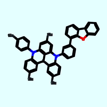 CC(C)(C)c1ccc(N2c3ccc(C(C)(C)C)cc3B3c4cc(C(C)(C)C)ccc4N(c4cccc(-c5cccc6c5oc5ccccc56)c4)c4cc(C(C)(C)C)cc2c43)cc1